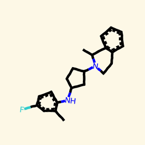 Cc1cc(F)ccc1NC1CCC(N2CCc3ccccc3C2C)C1